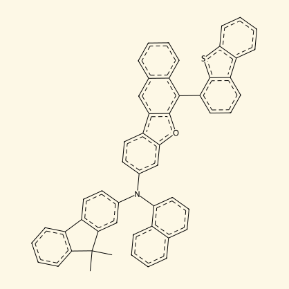 CC1(C)c2ccccc2-c2ccc(N(c3ccc4c(c3)oc3c(-c5cccc6c5sc5ccccc56)c5ccccc5cc34)c3cccc4ccccc34)cc21